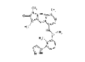 Cc1c(-c2ccn[nH]2)cccc1[C@@H](C)Nc1nnc(C)c2cc3c(cc12)n(C)c(=O)n3C